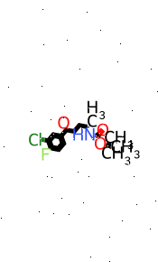 CC(CCC(=O)c1ccc(F)c(Cl)c1)NC(=O)OC(C)(C)C